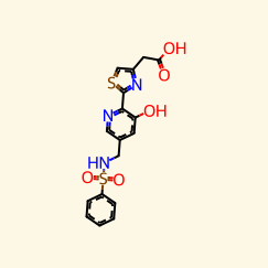 O=C(O)Cc1csc(-c2ncc(CNS(=O)(=O)c3ccccc3)cc2O)n1